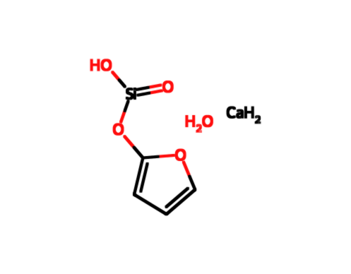 O.O=[Si](O)Oc1ccco1.[CaH2]